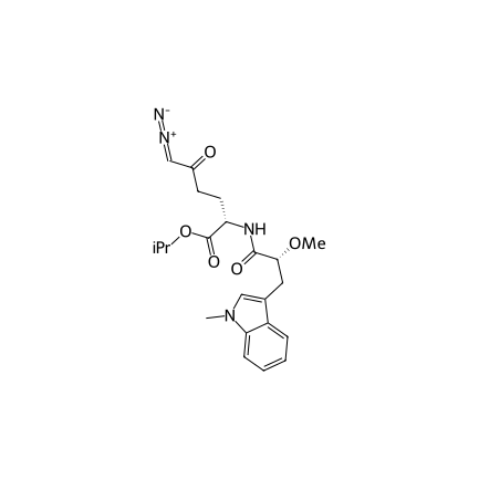 CO[C@H](Cc1cn(C)c2ccccc12)C(=O)N[C@@H](CCC(=O)C=[N+]=[N-])C(=O)OC(C)C